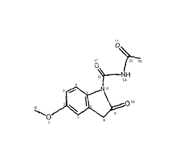 COc1ccc2c(c1)CC(=O)N2C(=O)NC(C)=O